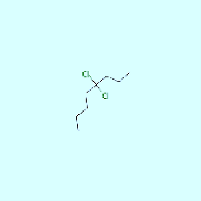 CCCCC(Cl)(Cl)CCC